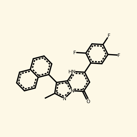 Cc1nn2c(=O)cc(-c3cc(F)c(F)cc3F)[nH]c2c1-c1cccc2ccccc12